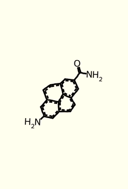 NC(=O)c1cc2ccc3cc(N)cc4ccc(c1)c2c34